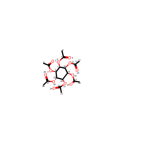 CC(=O)O[C@H]1[C@@H](OC(C)=O)[C@@H](OC(C)=O)[C@@H](OC(C)=O)[C@@H](OC(C)=O)[C@@H]1OC(C)=O